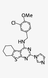 COc1ccc(CNc2nc(-n3ccnc3)nc3sc4c(c23)CCCC4)cc1Cl